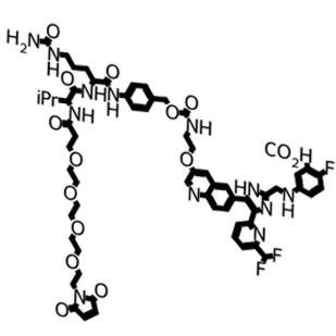 CC(C)C(NC(=O)CCOCCOCCOCCOCCN1C(=O)C=CC1=O)C(=O)NC(CCCNC(N)=O)C(=O)Nc1ccc(COC(=O)NCCOc2cnc3ccc(-c4[nH]c(CNc5ccc(F)c(C(=O)O)c5)nc4-c4cccc(C(F)F)n4)cc3c2)cc1